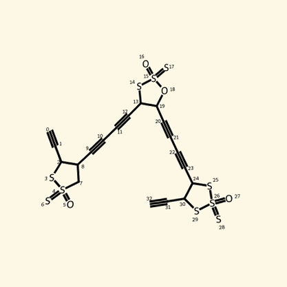 C#CC1SS(=O)(=S)CC1C#CC#CC1SS(=O)(=S)OC1C#CC#CC1SS(=O)(=S)SC1C#C